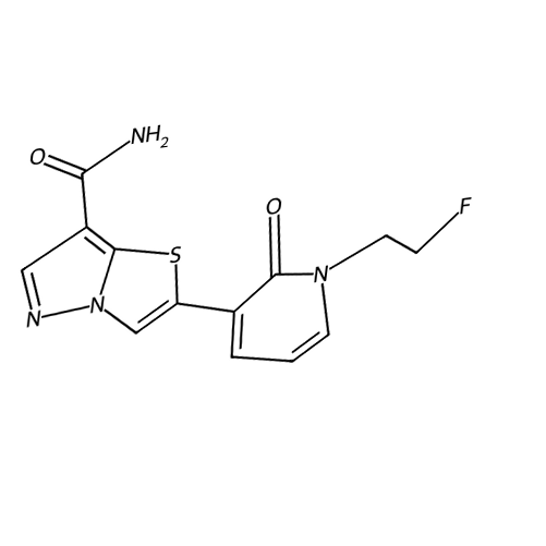 NC(=O)c1cnn2cc(-c3cccn(CCF)c3=O)sc12